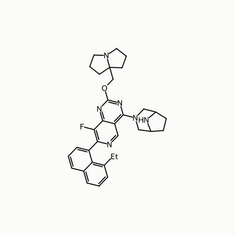 CCc1cccc2cccc(-c3ncc4c(N5CC6CCC(C5)N6)nc(OCC56CCCN5CCC6)nc4c3F)c12